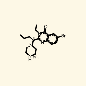 CCC[C@@H](c1nc2ccc(Br)cc2c(=O)n1CC)[C@H]1CCN[C@@H](C)C1